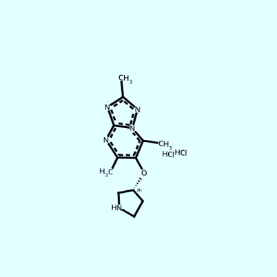 Cc1nc2nc(C)c(O[C@@H]3CCNC3)c(C)n2n1.Cl.Cl